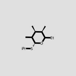 CCC1O[C@H](SC(C)C)C(C)[C@@H](C)[C@H]1C